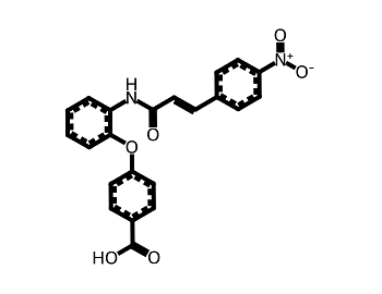 O=C(/C=C/c1ccc([N+](=O)[O-])cc1)Nc1ccccc1Oc1ccc(C(=O)O)cc1